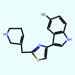 N#Cc1ccc2[nH]cc(-c3csc(CC4=CCCNC4)n3)c2c1